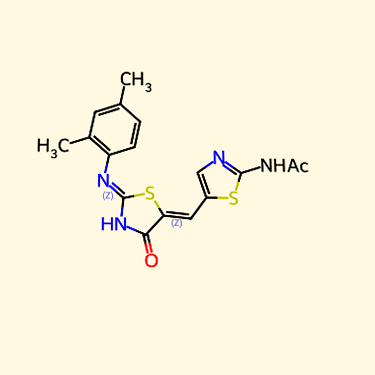 CC(=O)Nc1ncc(/C=C2\S/C(=N\c3ccc(C)cc3C)NC2=O)s1